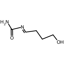 NC(=O)N=CCCCO